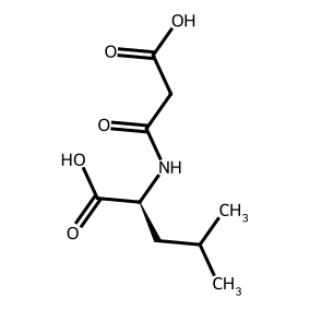 CC(C)C[C@H](NC(=O)CC(=O)O)C(=O)O